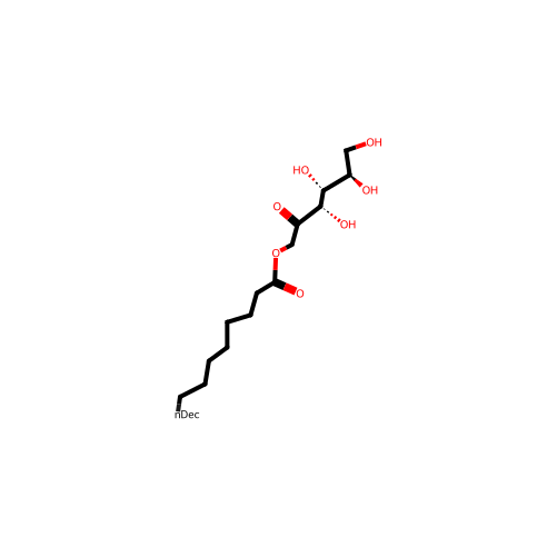 CCCCCCCCCCCCCCCCCC(=O)OCC(=O)[C@@H](O)[C@H](O)[C@H](O)CO